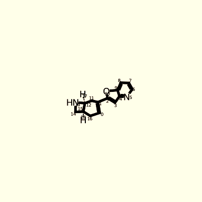 C1=C(c2cc3ncccc3o2)C[C@@H]2NC[C@@H]2C1